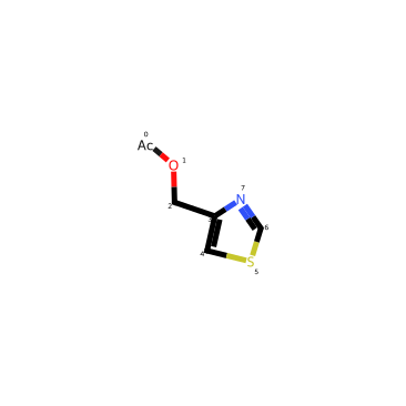 CC(=O)OCc1cscn1